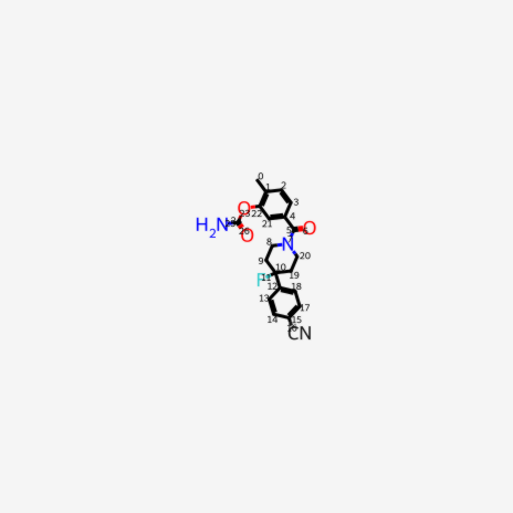 Cc1ccc(C(=O)N2CCC(F)(c3ccc(C#N)cc3)CC2)cc1OC(N)=O